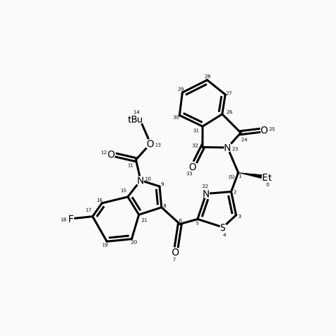 CC[C@@H](c1csc(C(=O)c2cn(C(=O)OC(C)(C)C)c3cc(F)ccc23)n1)N1C(=O)c2ccccc2C1=O